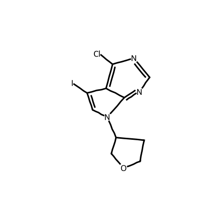 Clc1ncnc2c1c(I)cn2C1CCOC1